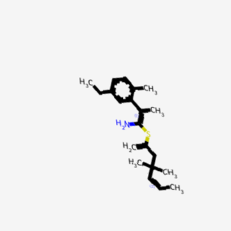 C=C(CC(C)(C)/C=C\C)S/C(N)=C(\C)c1cc(CC)ccc1C